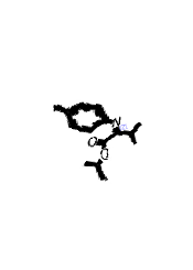 Cc1ccc(/N=C(\C(=O)OC(C)C)C(C)C)cc1